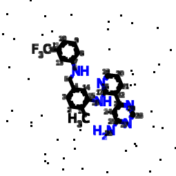 Cc1ccc(CNc2cccc(C(F)(F)F)c2)cc1Nc1ncccc1-c1cc(N)ncn1